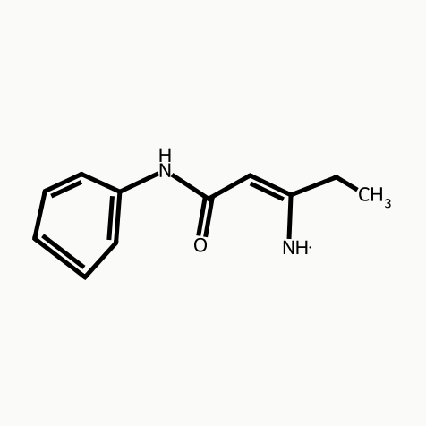 CCC([NH])=CC(=O)Nc1ccccc1